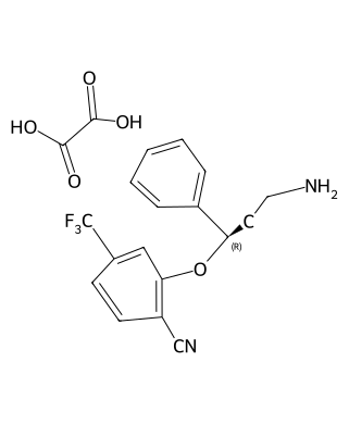 N#Cc1ccc(C(F)(F)F)cc1O[C@H](CCN)c1ccccc1.O=C(O)C(=O)O